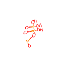 O=POP(=O)(O)P(=O)(O)O